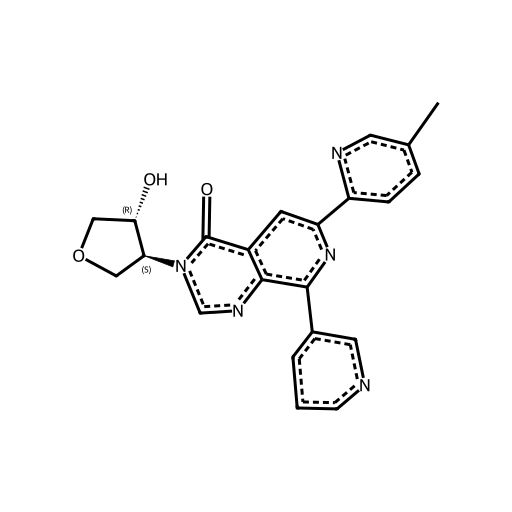 Cc1ccc(-c2cc3c(=O)n([C@H]4COC[C@@H]4O)cnc3c(-c3cccnc3)n2)nc1